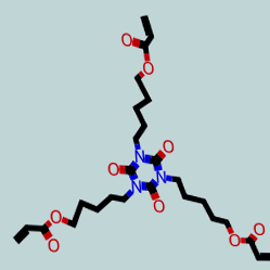 C=CC(=O)OCCCCCn1c(=O)n(CCCCCOC(=O)C=C)c(=O)n(CCCCCOC(=O)C=C)c1=O